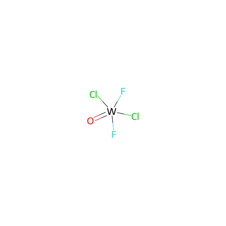 [O]=[W]([F])([F])([Cl])[Cl]